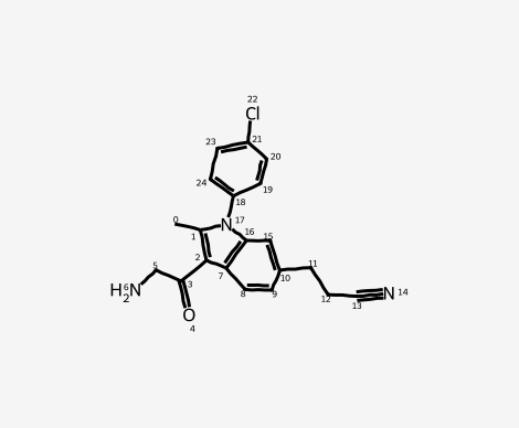 Cc1c(C(=O)CN)c2ccc(CCC#N)cc2n1-c1ccc(Cl)cc1